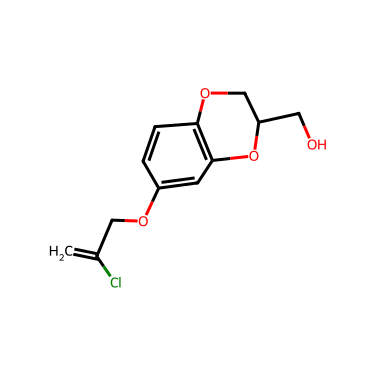 C=C(Cl)COc1ccc2c(c1)OC(CO)CO2